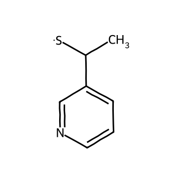 CC([S])c1cccnc1